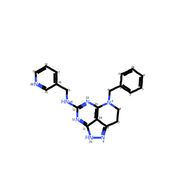 c1ccc(CN2CCc3n[nH]c4nc(NCc5cccnc5)nc2c34)cc1